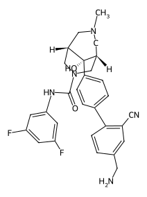 CN1C[C@@H]2CN(C(=O)Nc3cc(F)cc(F)c3)C[C@H](C1)[C@]2(O)c1ccc(-c2ccc(CN)cc2C#N)cc1